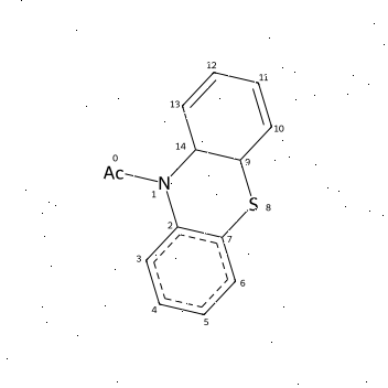 CC(=O)N1c2ccccc2SC2C=CC=CC21